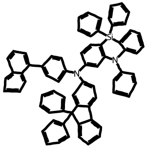 c1ccc(N2c3ccccc3[Si](c3ccccc3)(c3ccccc3)c3ccc(N(c4ccc(-c5cccc6ccccc56)cc4)c4ccc5c(c4)C(c4ccccc4)(c4ccccc4)c4ccccc4-5)cc32)cc1